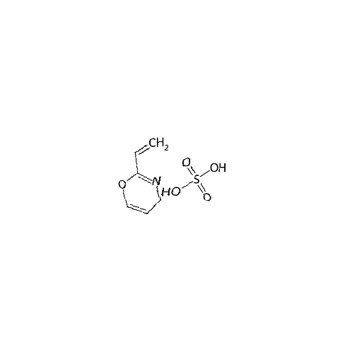 C=CC1=NCC=CO1.O=S(=O)(O)O